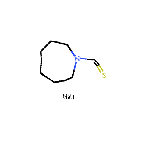 S=CN1CCCCCC1.[NaH]